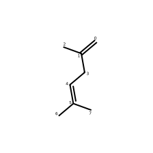 C=C(C)CC=C(C)C